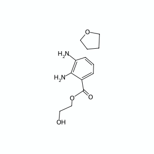 C1CCOC1.Nc1cccc(C(=O)OCCO)c1N